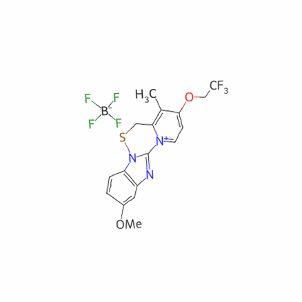 COc1ccc2c(c1)nc1n2SCc2c(C)c(OCC(F)(F)F)cc[n+]2-1.F[B-](F)(F)F